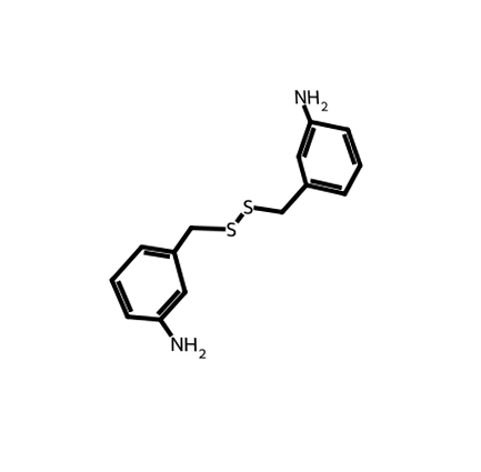 Nc1cccc(CSSCc2cccc(N)c2)c1